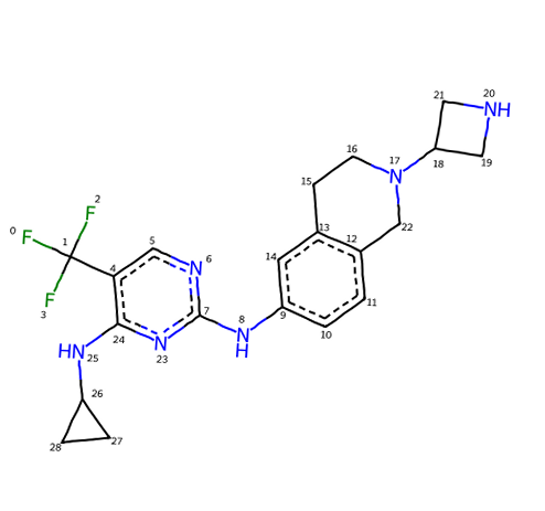 FC(F)(F)c1cnc(Nc2ccc3c(c2)CCN(C2CNC2)C3)nc1NC1CC1